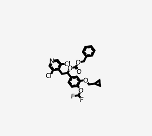 O=C(OCc1ccccc1)OC(Cc1c(Cl)cncc1Cl)c1ccc(OC(F)F)c(OCC2CC2)c1